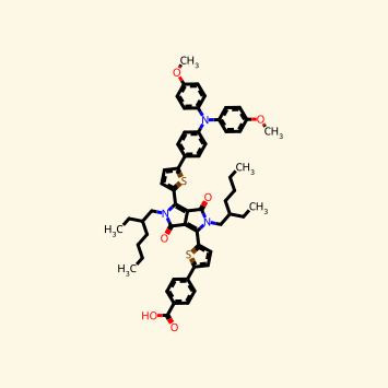 CCCCC(CC)CN1C(=O)C2=C(c3ccc(-c4ccc(N(c5ccc(OC)cc5)c5ccc(OC)cc5)cc4)s3)N(CC(CC)CCCC)C(=O)C2=C1c1ccc(-c2ccc(C(=O)O)cc2)s1